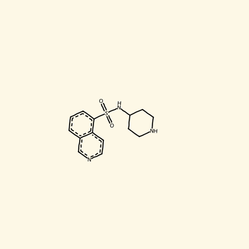 O=S(=O)(NC1CCNCC1)c1cccc2cnccc12